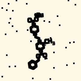 C[C@H]1CN(C(=O)OCc2ccccc2)CCN1CCN1CCN(C(=O)OC(C)(C)C)CC1